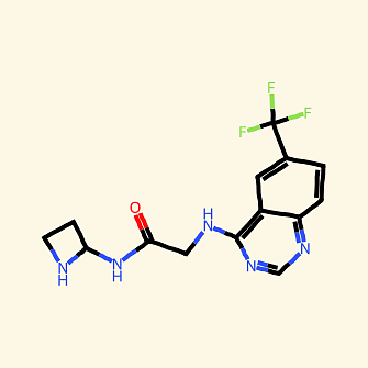 O=C(CNc1ncnc2ccc(C(F)(F)F)cc12)NC1CCN1